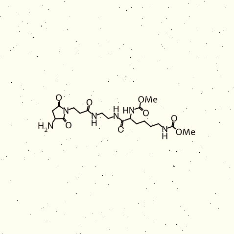 COC(=O)NCCCCC(NC(=O)OC)C(=O)NCCNC(=O)CCN1C(=O)CC(N)C1=O